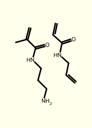 C=C(C)C(=O)NCCCN.C=CCNC(=O)C=C